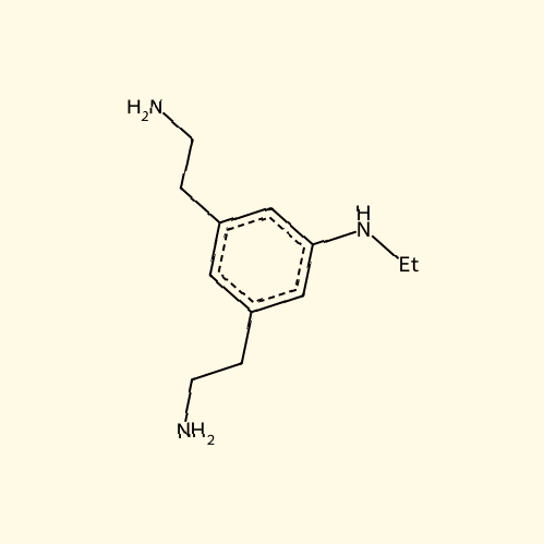 CCNc1cc(CCN)cc(CCN)c1